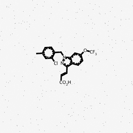 Cc1ccc(Cn2nc(/C=C/C(=O)O)c3ccc(OC(F)(F)F)cc32)c(Cl)c1